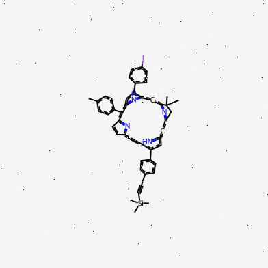 Cc1ccc(-c2c3nc(cc4[nH]c(cc5nc(cc6[nH]c2cc6-c2ccc(I)cc2)C(C)(C)C5)cc4-c2ccc(C#C[Si](C)(C)C)cc2)C=C3)cc1